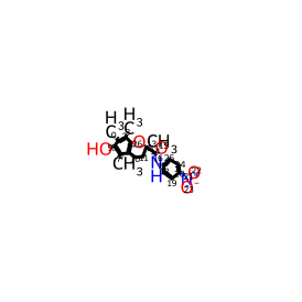 Cc1c(C)c2c(c(C)c1O)CCC(C)(C(=O)Nc1ccc([N+](=O)[O-])cc1)O2